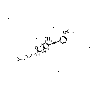 COc1cccc(C#Cc2sc(NC(=O)NCCOCC3CC3)nc2C)c1